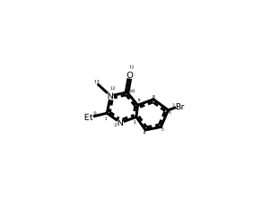 CCc1nc2ccc(Br)cc2c(=O)n1C